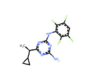 CC(c1nc(N)nc(Nc2c(F)c(F)cc(F)c2F)n1)C1CC1